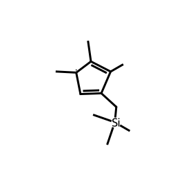 C[C]1C=C(C[Si](C)(C)C)C(C)=C1C